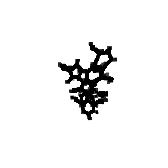 CC1=C(N2CCC3(C[C@H]4COC[C@@H](C3)N4C[C@@H](O)c3ccc4c(c3C)COC4=O)C2=O)COC1=O